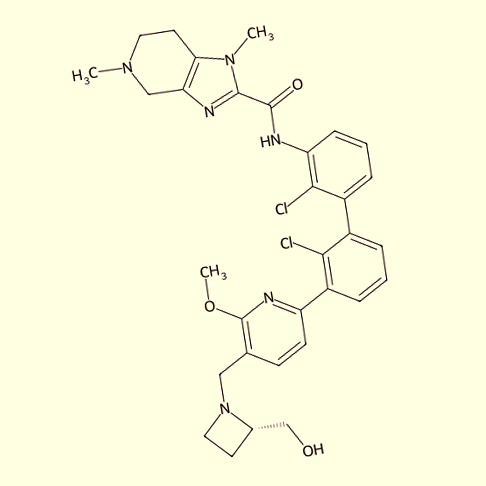 COc1nc(-c2cccc(-c3cccc(NC(=O)c4nc5c(n4C)CCN(C)C5)c3Cl)c2Cl)ccc1CN1CC[C@H]1CO